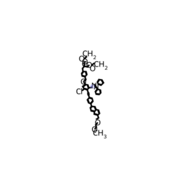 C=CC(=O)OCC(COC(=O)C=C)Cc1ccc(COc2cc(Cl)c(C#Cc3ccc(-c4ccc5cc(CCOCCOC)ccc5c4)cc3)c(/C=N/N(c3ccccc3)c3ccccc3)c2)cc1